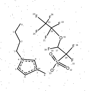 CCCCn1cc[n+](C)c1.O=S(=O)([O-])C(F)(F)C(F)OC(F)(F)C(F)(F)F